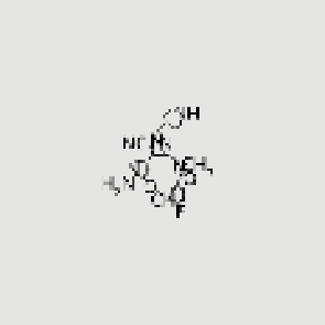 C[C@H]1Oc2cc(cnc2N)-c2c(nn(CC3CCNCC3)c2C#N)CN(C)C(=O)c2ccc(F)cc21